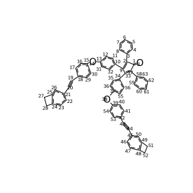 O=C1C(c2ccccc2)=C(c2ccc(Oc3ccc(C#Cc4ccc5c(c4)CC5)cc3)cc2)C(c2ccc(Oc3ccc(C#Cc4ccc5c(c4)CC5)cc3)cc2)=C1c1ccccc1